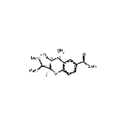 COC(=O)c1ccc2c(c1)[C@@H](N)[C@H](O)[C@](C)(C(OC)OC)O2